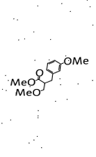 COCC(Cc1cccc(OC)c1)C(=O)OC